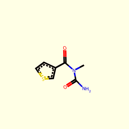 CN(C(N)=O)C(=O)c1ccsc1